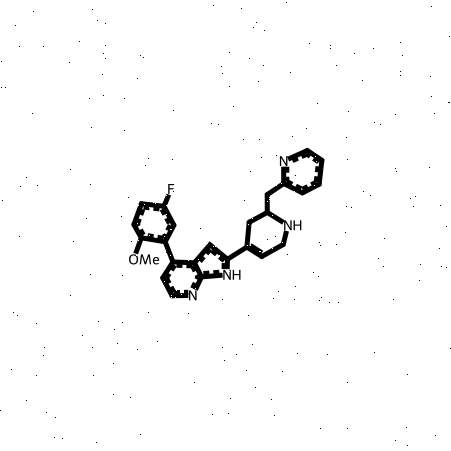 COc1ccc(F)cc1-c1ccnc2[nH]c(C3=CCNC(Cc4ccccn4)C3)cc12